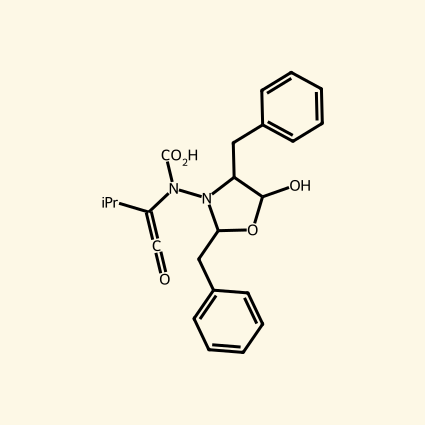 CC(C)C(=C=O)N(C(=O)O)N1C(Cc2ccccc2)OC(O)C1Cc1ccccc1